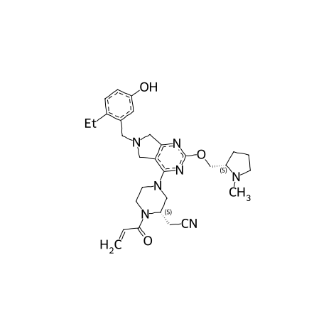 C=CC(=O)N1CCN(c2nc(OC[C@@H]3CCCN3C)nc3c2CN(Cc2cc(O)ccc2CC)C3)C[C@@H]1CC#N